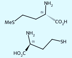 CSCC[C@H](N)C(=O)O.N[C@@H](CCS)C(=O)O